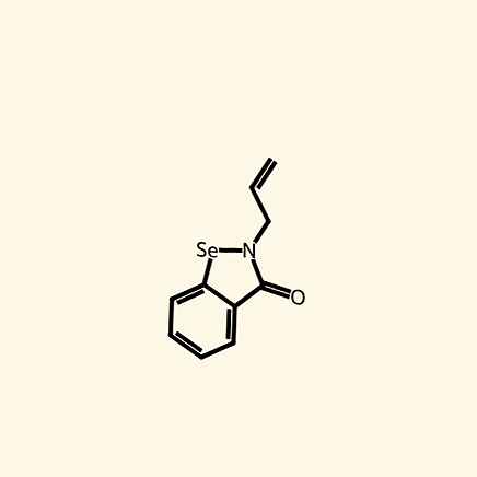 C=CCn1[se]c2ccccc2c1=O